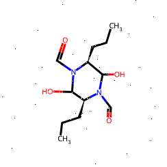 CCC[C@H]1C(O)N(C=O)[C@@H](CCC)C(O)N1C=O